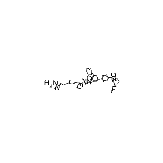 C=N\C(N)=C/C=C(C)/C=C/C(=O)NCc1cc2cc(-c3ccc(C(=O)N4CC[C@@H](F)C4)cc3)cc(Cl)c2o1